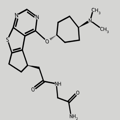 CN(C)[C@H]1CC[C@H](Oc2ncnc3sc4c(c23)[C@@H](CC(=O)NCC(N)=O)CC4)CC1